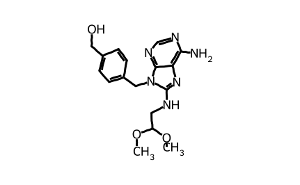 COC(CNc1nc2c(N)ncnc2n1Cc1ccc(CO)cc1)OC